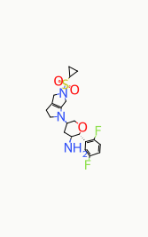 N[C@H]1C[C@@H](N2CCC3=C2CN(S(=O)(=O)C2CC2)C3)CO[C@@H]1c1cc(F)ccc1F